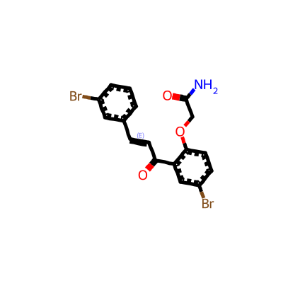 NC(=O)COc1ccc(Br)cc1C(=O)/C=C/c1cccc(Br)c1